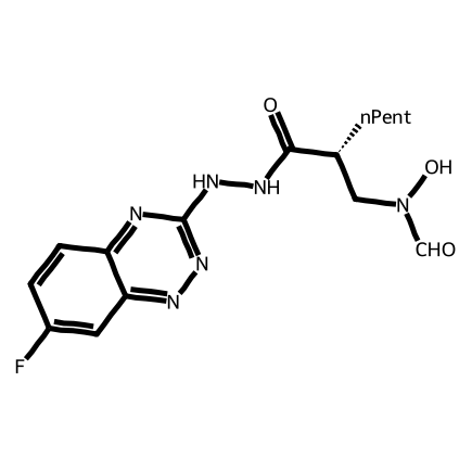 CCCCC[C@H](CN(O)C=O)C(=O)NNc1nnc2cc(F)ccc2n1